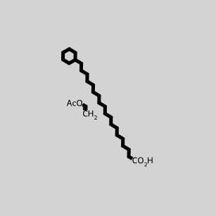 C=COC(C)=O.O=C(O)CCCCCCCCCCCCCCCCCCC1CCCCC1